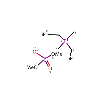 CC(C)C[P+](C)(C)CC(C)C.COP(=O)([O-])OC